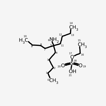 CCCCCC(N)(CCCC)CCCC.CCOS(=O)(=O)O